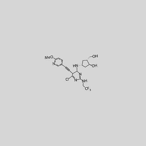 COc1ccc(C#CC2C(Cl)=NC(NCC(F)(F)F)=NC2N[C@@H]2C[C@H](CO)[C@@H](O)C2)cn1